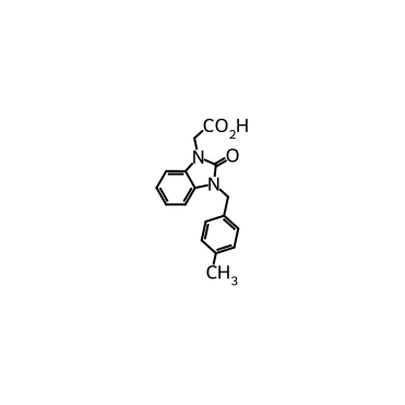 Cc1ccc(Cn2c(=O)n(CC(=O)O)c3ccccc32)cc1